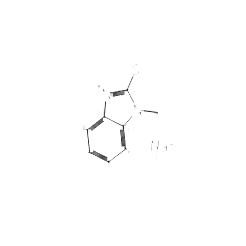 Cn1c([S-])nc2ccccc21.[Na+]